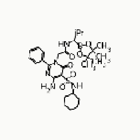 CC(C)C(NC(=O)Cn1c(-c2ccccc2)nc(N)c(S(=O)(=O)NC2CCCCC2)c1=O)B1OC(C)(C)C(C)(C)O1